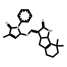 CC1=CC(O/C=C2/C(=O)NC3C4=C(CCCC4(C)C)CC23)N(c2ccccc2)C1=O